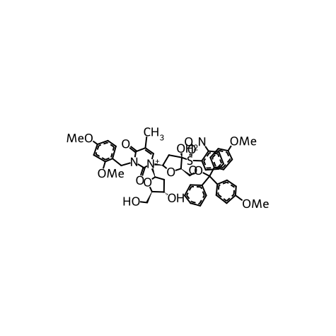 COc1ccc(C(OC[C@H]2O[C@@H]([N+]3([C@H]4C[C@H](O)[C@@H](CO)O4)C=C(C)C(=O)N(Cc4ccc(OC)cc4OC)C3=O)C[C@]2(O)S(=O)(=O)c2ccccc2[N+](=O)[O-])(c2ccccc2)c2ccc(OC)cc2)cc1